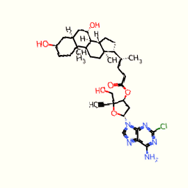 C#C[C@]1(CO)O[C@@H](n2cnc3c(N)nc(Cl)nc32)C[C@@H]1OC(=O)CC[C@@H](C)[C@H]1CC[C@H]2[C@@H]3[C@@H](O)C[C@@H]4C[C@H](O)CC[C@]4(C)[C@H]3CC[C@]12C